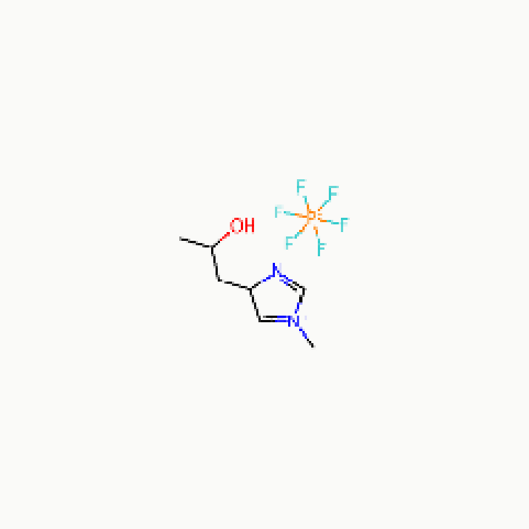 CC(O)CC1C=[N+](C)C=N1.F[P-](F)(F)(F)(F)F